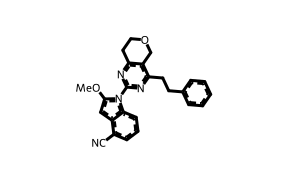 COc1cc2c(C#N)cccc2n1-c1nc2c(c(CCc3ccccc3)n1)COCC2